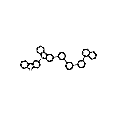 c1cc(-c2cccc(-c3ccc4c(c3)c3ccccc3n4-c3ccc4oc5ccccc5c4c3)c2)cc(-c2cccc(-c3cccc4ccccc34)c2)c1